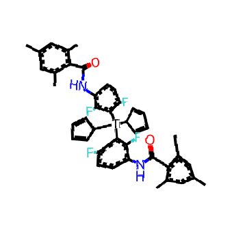 Cc1cc(C)c(C(=O)Nc2ccc(F)[c]([Ti]([c]3c(F)ccc(NC(=O)c4c(C)cc(C)cc4C)c3F)([CH]3C=CC=C3)[CH]3C=CC=C3)c2F)c(C)c1